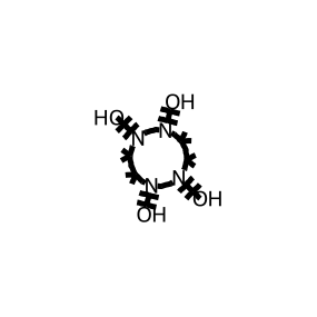 CC1(C)CN(C(C)(C)C(C)(C)O)CCN(C(C)(C)C(C)(C)O)CC(C)(C)CC(C)(C)CN(C(C)(C)C(C)(C)O)CCN(C(C)(C)C(C)(C)O)CC(C)(C)C1